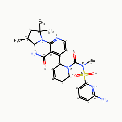 C[C@@H]1CN(c2nccc(C3C=CCCN3C(=O)N(C(C)(C)C)S(=O)(=O)c3cccc(N)n3)c2C(N)=O)C(C)(C)C1